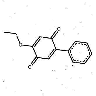 CCOC1=CC(=O)C(c2ccccc2)=CC1=O